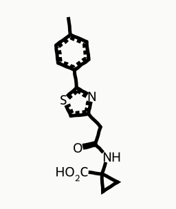 Cc1ccc(-c2nc(CC(=O)NC3(C(=O)O)CC3)cs2)cc1